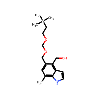 Cc1cc(COCOCC[Si](C)(C)C)c(CO)c2cc[nH]c12